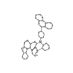 c1ccc(-c2ccccc2N(c2ccc(-c3cc4ccccc4c4ccccc34)cc2)c2ccc3c(ccc4sc5ccccc5c43)c2)cc1